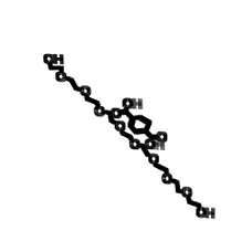 O=C(O)c1ccc(C(=O)O)cc1.OCCOCCOCCOCCOCCOCCOCCOCCOCCO